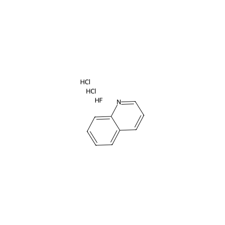 Cl.Cl.F.c1ccc2ncccc2c1